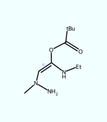 CCN/C(=C\N(C)N)OC(=O)C(C)(C)C